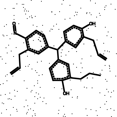 C=CCc1cc(C(c2ccc(O)c(CCC)c2)c2ccc(N=O)c(CC=C)c2)ccc1O